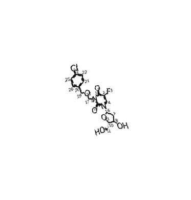 O=c1c(F)cn([C@@H]2CC(O)[C@H](CO)O2)c(=O)n1COCc1ccc(Cl)cc1